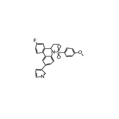 CCC1c2cc(F)ccc2-c2cc(-c3cccnc3)ccc2N1S(=O)(=O)c1ccc(OC)cc1